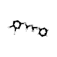 O=C(NC(=O)Oc1ccc(Cl)c(Cl)c1)Nc1ccccc1